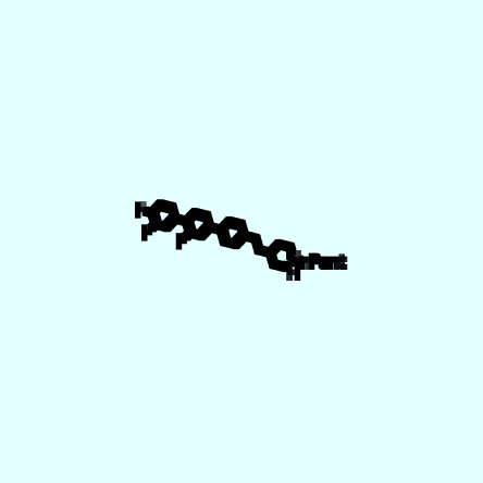 CCCCC[SiH]1CCC(CCc2ccc(-c3ccc(-c4ccc(F)c(F)c4)c(F)c3)cc2)CC1